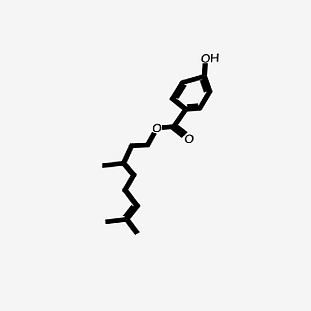 CC(C)=CCCC(C)CCOC(=O)c1ccc(O)cc1